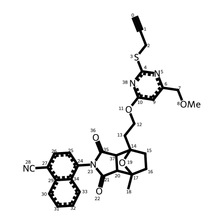 C#CCSc1nc(COC)cc(OCCC23CCC(C)(O2)C2C(=O)N(c4ccc(C#N)c5ccccc45)C(=O)C23)n1